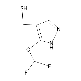 FC(F)Oc1[nH]ncc1CS